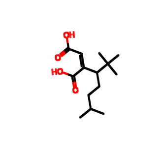 CC(C)CCC(C(=CC(=O)O)C(=O)O)C(C)(C)C